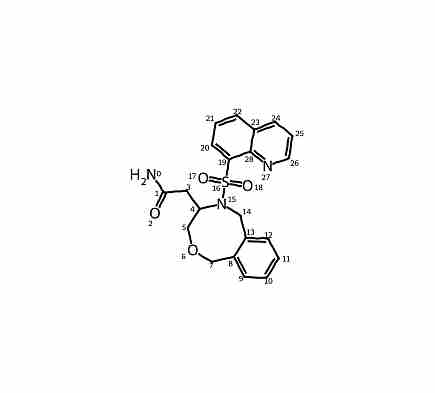 NC(=O)CC1COCc2ccccc2CN1S(=O)(=O)c1cccc2cccnc12